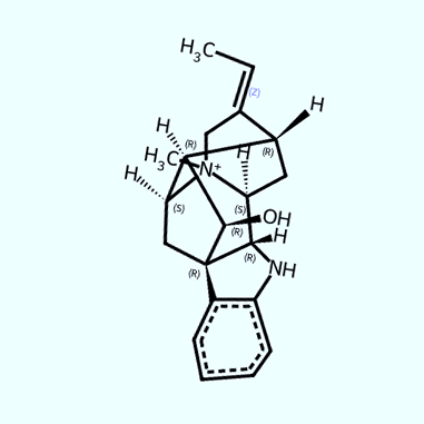 C/C=C1\C[N+]2(C)[C@H]3C[C@@]45c6ccccc6N[C@H]4[C@@H]2C[C@@H]1[C@H]3[C@H]5O